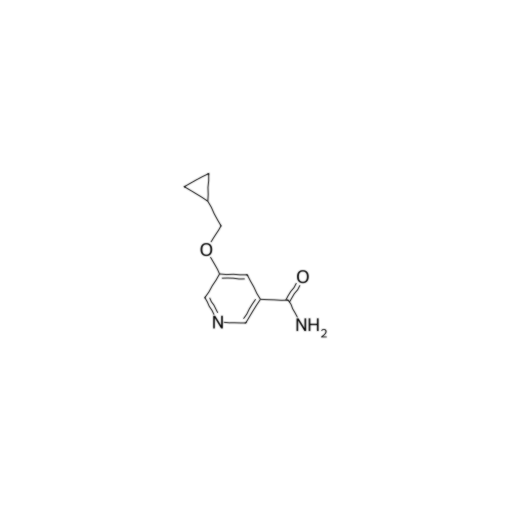 NC(=O)c1cncc(OCC2CC2)c1